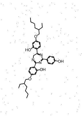 CCCCC(CC)COc1ccc(C2=NC(c3ccc(O)cc3)=NC(c3ccc(OCC(CC)CCCC)cc3O)=NC2)c(O)c1